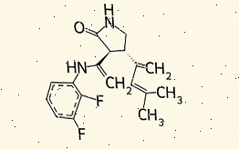 C=C(Nc1cccc(F)c1F)[C@H]1C(=O)NC[C@@H]1C(=C)C=C(C)C